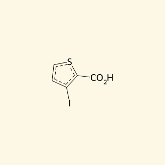 O=C(O)c1sccc1I